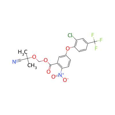 CC(C)(C#N)OCOC(=O)c1cc(Oc2ccc(C(F)(F)F)cc2Cl)ccc1[N+](=O)[O-]